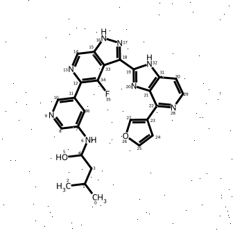 CC(C)CC(O)Nc1cncc(-c2ncc3[nH]nc(-c4nc5c(-c6ccoc6)nccc5[nH]4)c3c2F)c1